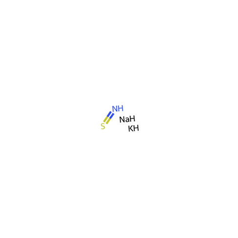 N=S.[KH].[NaH]